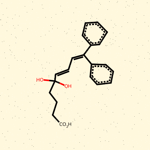 O=C(O)CCCC(O)(O)C=CC=C(c1ccccc1)c1ccccc1